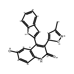 Cc1cc(-c2c(-c3cc4ccccc4s3)c3cc(Cl)ccc3[nH]c2=O)on1